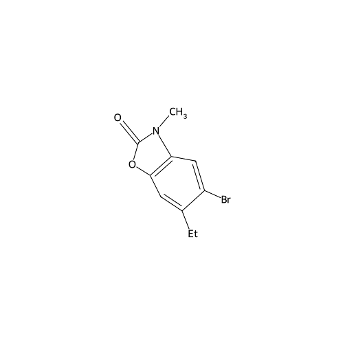 CCc1cc2oc(=O)n(C)c2cc1Br